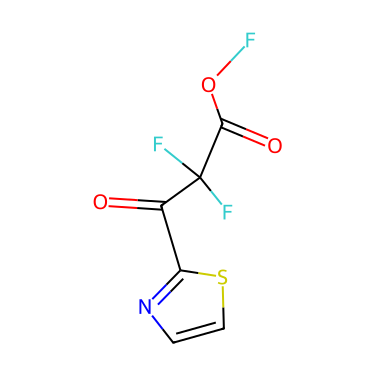 O=C(OF)C(F)(F)C(=O)c1nccs1